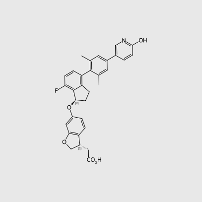 Cc1cc(-c2ccc(O)nc2)cc(C)c1-c1ccc(F)c2c1CC[C@H]2Oc1ccc2c(c1)OC[C@H]2CC(=O)O